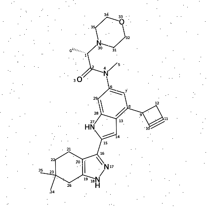 C[C@@H](C(=O)N(C)c1cc(C2C#CC2)c2cc(-c3n[nH]c4c3CCC(C)(C)C4)[nH]c2c1)N1CCOCC1